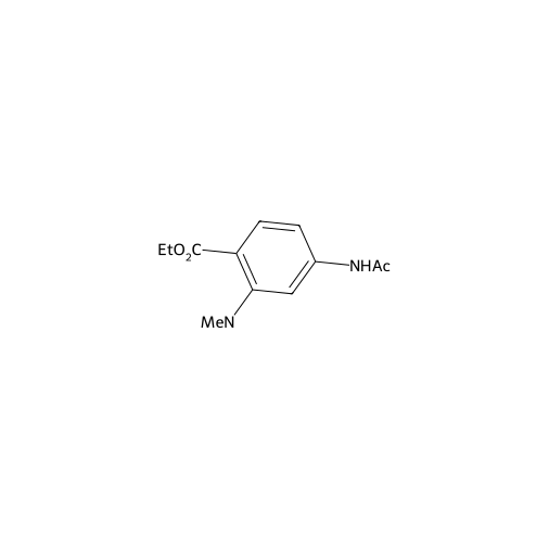 CCOC(=O)c1ccc(NC(C)=O)cc1NC